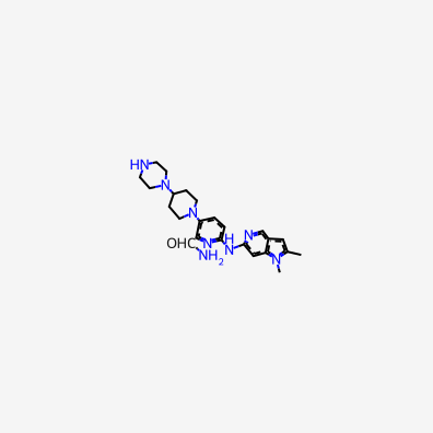 Cc1cc2cnc(Nc3ccc(N4CCC(N5CCNCC5)CC4)cn3)cc2n1C.NC=O